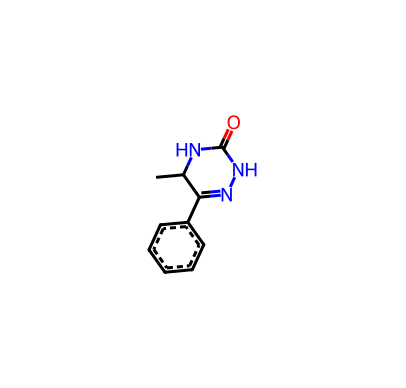 CC1NC(=O)NN=C1c1ccccc1